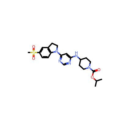 CC(C)OC(=O)N1CCC(Nc2cc(N3CCc4cc(S(C)(=O)=O)ccc43)ncn2)CC1